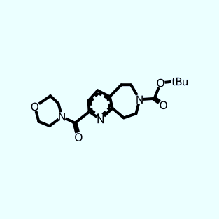 CC(C)(C)OC(=O)N1CCc2ccc(C(=O)N3CCOCC3)nc2CC1